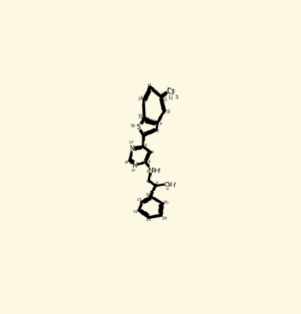 OC(CNc1cc(-c2cc3cc(C(F)(F)F)ccc3s2)ncn1)c1ccccc1